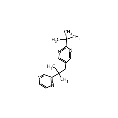 CC(C)(C)c1ncc(CC(C)(C)c2cnccn2)cn1